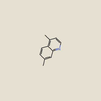 Cc1ccc2c(C)ccnc2c1